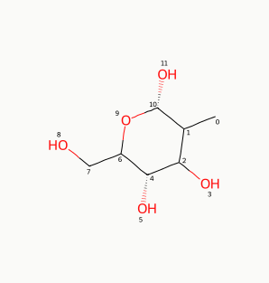 CC1C(O)[C@H](O)C(CO)O[C@@H]1O